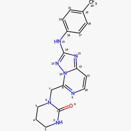 O=C1NCCCN1Cc1nccc2nc(Nc3ccc(C(F)(F)F)cc3)nn12